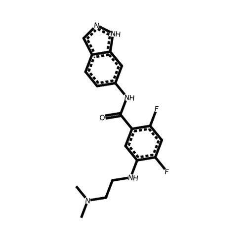 CN(C)CCNc1cc(C(=O)Nc2ccc3cn[nH]c3c2)c(F)cc1F